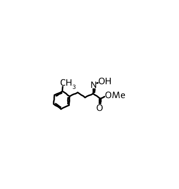 COC(=O)C(CCc1ccccc1C)=NO